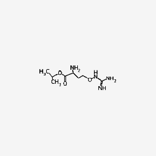 CC(C)OC(=O)C(N)CCONC(=N)N